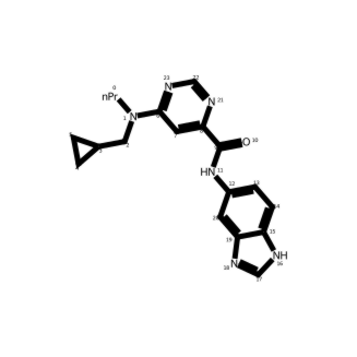 CCCN(CC1CC1)c1cc(C(=O)Nc2ccc3[nH]cnc3c2)ncn1